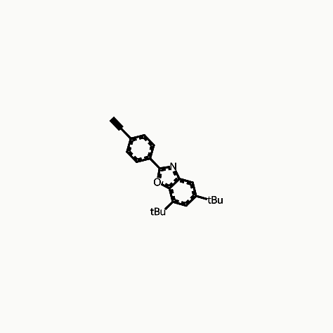 C#Cc1ccc(-c2nc3cc(C(C)(C)C)cc(C(C)(C)C)c3o2)cc1